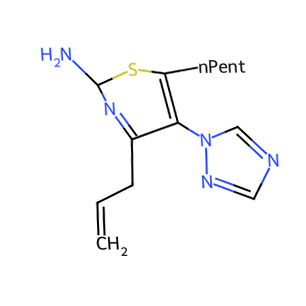 C=CCC1=NC(N)SC(CCCCC)=C1n1cncn1